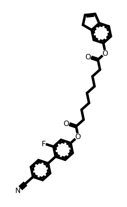 N#Cc1ccc(-c2ccc(OC(=O)CCCCCCCC(=O)Oc3ccc4c(c3)CC=C4)cc2F)cc1